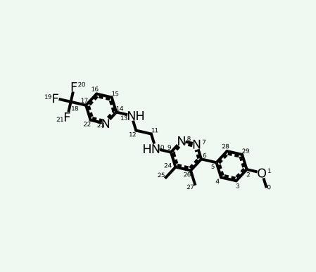 COc1ccc(-c2nnc(NCCNc3ccc(C(F)(F)F)cn3)c(C)c2C)cc1